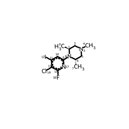 C[C@H]1CN(C)C[C@H](C)N1c1cc(I)c(Cl)c(F)n1